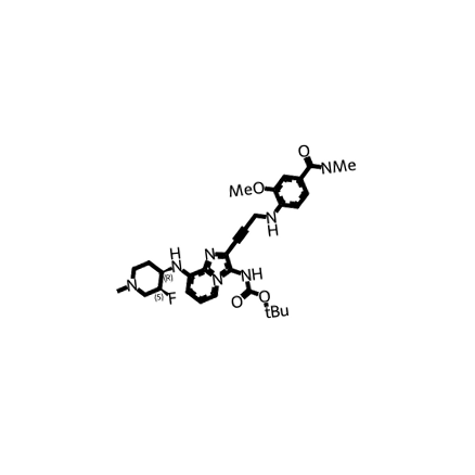 CNC(=O)c1ccc(NCC#Cc2nc3c(N[C@@H]4CCN(C)C[C@@H]4F)cccn3c2NC(=O)OC(C)(C)C)c(OC)c1